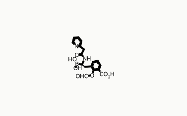 O=COc1c(C[C@H](NC(=O)Cc2ccccn2)B(O)O)cccc1C(=O)O